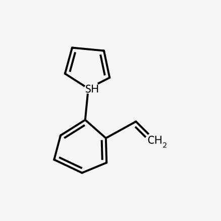 C=Cc1ccccc1[SH]1C=CC=C1